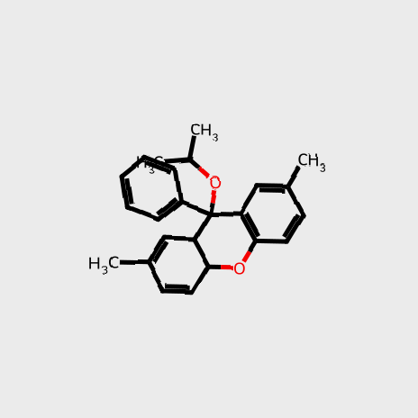 CC1=CC2C(C=C1)Oc1ccc(C)cc1C2(OC(C)C)c1ccccc1